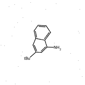 CC(C)(C)c1cc(N)c2ccccc2c1